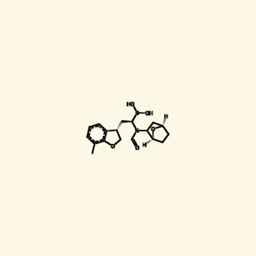 Cc1cccc2c1OC[C@H]2C[C@@H](B(O)O)N(C=O)C1C[C@H]2CC[C@@H]1O2